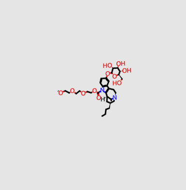 CCCC[C@H]1C[C@H]2c3c(c4cc(OC5O[C@H](CO)[C@@H](O)[C@H](O)[C@H]5O)ccc4n3C(=O)OCCOCCOCCOC)CC[N@@](C1)C2C